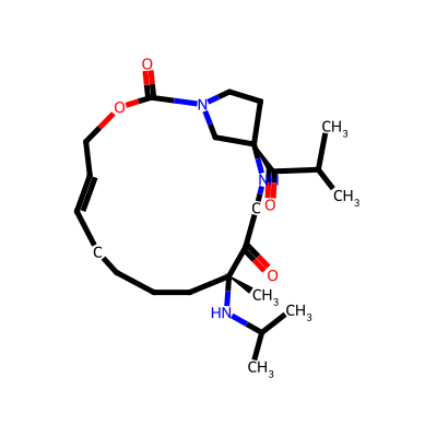 CC(C)N[C@]1(C)CCCC/C=C/COC(=O)N2CC[C@@](C(=O)C(C)C)(C2)NCC1=O